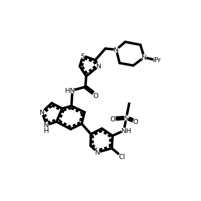 CC(C)N1CCN(Cc2nc(C(=O)Nc3cc(-c4cnc(Cl)c(NS(C)(=O)=O)c4)cc4[nH]ncc34)cs2)CC1